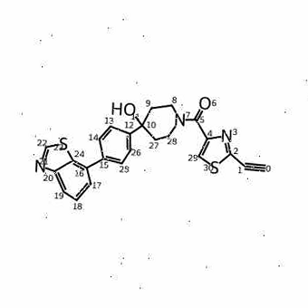 C#Cc1nc(C(=O)N2CCC(O)(c3ccc(-c4cccc5ncsc45)cc3)CC2)cs1